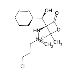 C=C(CCCCl)N[C@@]1([C@H](O)[C@@H]2C=CCCC2)C(=O)OC1(C)C